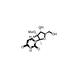 CO[C@]1(N)[C@H](O)[C@@H](CO)O[C@@]1(C)n1ccc(=O)[nH]c1=O